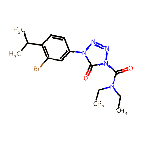 CCN(CC)C(=O)n1nnn(-c2ccc(C(C)C)c(Br)c2)c1=O